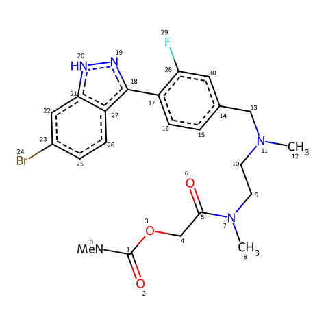 CNC(=O)OCC(=O)N(C)CCN(C)Cc1ccc(-c2n[nH]c3cc(Br)ccc23)c(F)c1